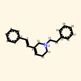 C(=Cc1ccccc1)C1=CCCN(CCc2ccccc2)C1